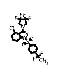 CC(F)(F)c1ccc(S(=O)(=O)n2nc(N3CC(F)(F)C(F)(F)C3)c3c(Cl)cccc32)cc1